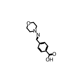 O=C(O)c1ccc(/C=N/N2CCOCC2)cc1